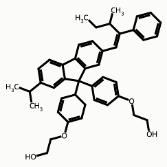 CCC(C)C(=Cc1ccc2c(c1)C(c1ccc(OCCO)cc1)(C1C=CC(OCCO)=CC1)c1cc(C(C)C)ccc1-2)c1ccccc1